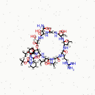 CC[C@H](C)C1NC(=O)[C@@H](CCCNC(=N)N)NC(=O)[C@H](CC(C)C)NC(=O)[C@H]([C@H](O)C(C)C)NC(=O)[C@@H](NC(=O)[C@H](CC(C)C)NC(=O)[C@H]2CCCCN2C(=O)OC(C)(C)C)[C@@H](c2ccccc2)OC(=O)[C@H](CO)NC(=O)[C@H]([C@H](O)C(N)=O)NC(=O)CNC(=O)C([C@H](C)O)NC1=O